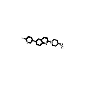 Fc1ccc(-c2ccc3nc(N4CCC(OCl)CC4)ccc3c2)cn1